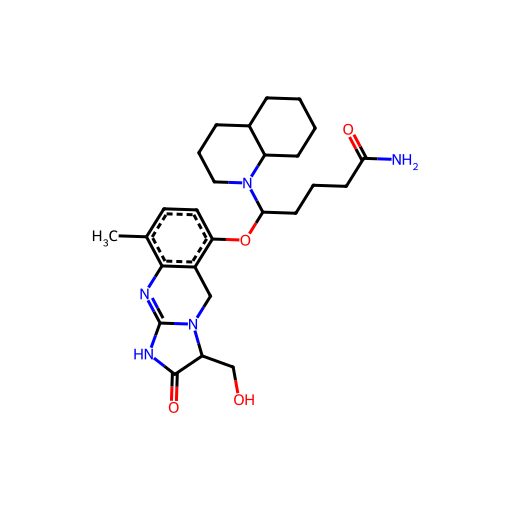 Cc1ccc(OC(CCCC(N)=O)N2CCCC3CCCCC32)c2c1N=C1NC(=O)C(CO)N1C2